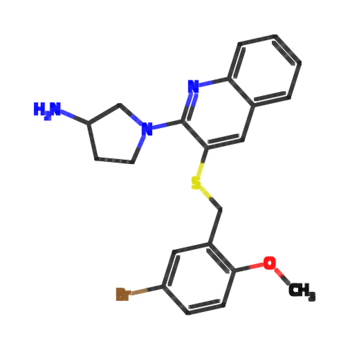 COc1ccc(Br)cc1CSc1cc2ccccc2nc1N1CCC(N)C1